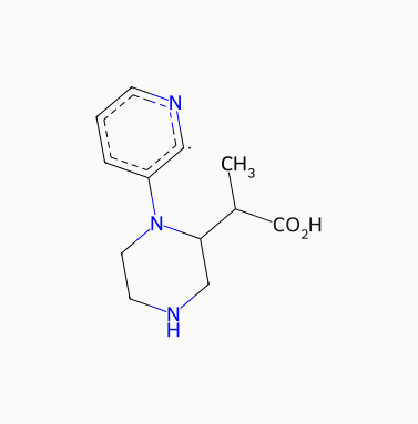 CC(C(=O)O)C1CNCCN1c1[c]nccc1